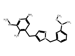 COP(C)c1cccc(Cn2cc(Cc3cc(N)nc(NN)c3N)cn2)c1